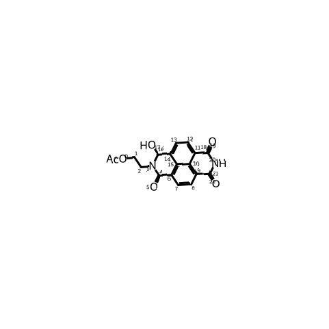 CC(=O)OCCN1C(=O)c2ccc3c4c(ccc(c24)C1O)C(=O)NC3=O